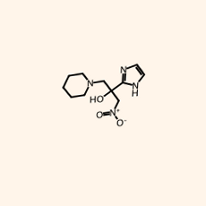 O=[N+]([O-])CC(O)(CN1CCCCC1)c1ncc[nH]1